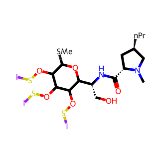 CCC[C@@H]1C[C@@H](C(=O)N[C@H](CO)C2OC(SC)C(OSI)C(OSI)C2OSI)N(C)C1